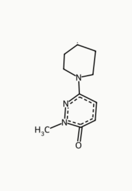 Cn1nc(N2CC[CH]CC2)ccc1=O